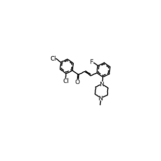 CN1CCN(c2cccc(F)c2C=CC(=O)c2ccc(Cl)cc2Cl)CC1